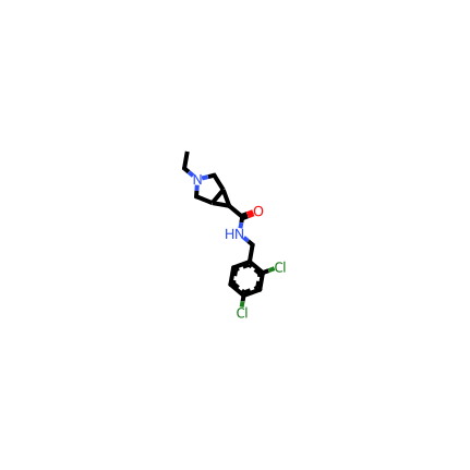 CCN1CC2C(C1)C2C(=O)NCc1ccc(Cl)cc1Cl